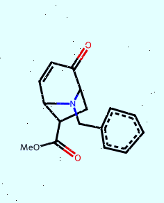 COC(=O)C1CC2C(=O)C=CC1N2Cc1ccccc1